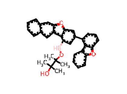 CC(C)(O)C(C)(C)OBc1cc(-c2cccc3oc4ccccc4c23)cc2oc3cc4ccccc4cc3c12